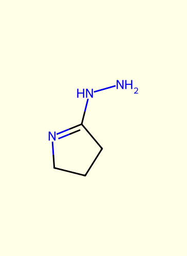 NNC1=NCCC1